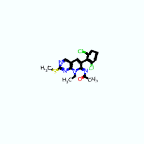 CCn1/c(=N\C(C)=O)c(-c2c(Cl)cccc2Cl)cc2cnc(SC)nc21